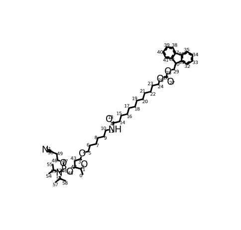 CC1OC(OCCCCCCNC(=O)CCCCCCCCCCCOC(=O)OCC2c3ccccc3-c3ccccc32)CC1OP(OCCC#N)N(C(C)C)C(C)C